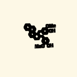 COc1cc(CC2CCc3ccc4c(ccc5ccccc54)c3C2Cc2ccc(O)c(OC)c2)ccc1O